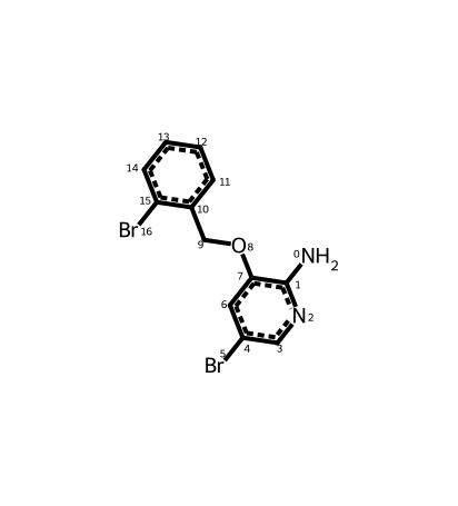 Nc1ncc(Br)cc1OCc1ccccc1Br